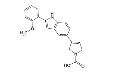 COc1ccccc1-c1cc2cc(C3=CCN(C(=O)O)C3)ccc2[nH]1